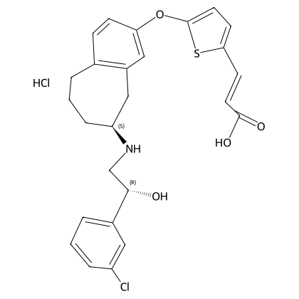 Cl.O=C(O)C=Cc1ccc(Oc2ccc3c(c2)C[C@@H](NC[C@H](O)c2cccc(Cl)c2)CCC3)s1